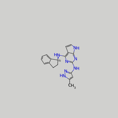 Cc1cc(Nc2nc(N[C@H]3CCc4ccccc43)c3cc[nH]c3n2)n[nH]1